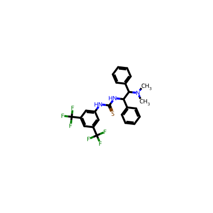 CN(C)C(c1ccccc1)C(NC(=S)Nc1cc(C(F)(F)F)cc(C(F)(F)F)c1)c1ccccc1